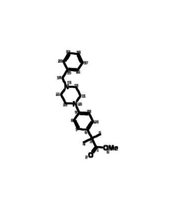 COC(=O)C(C)(C)c1ccc(N2CCN(Cc3ccccc3)CC2)cc1